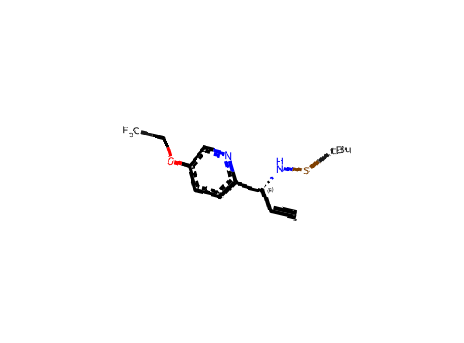 C=C[C@@H](NSC(C)(C)C)c1ccc(OCC(F)(F)F)cn1